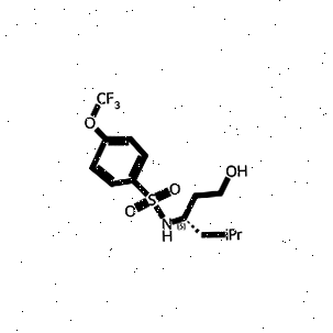 CC(C)C[C@@H](CCO)NS(=O)(=O)c1ccc(OC(F)(F)F)cc1